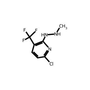 CNNc1nc(Cl)ccc1C(F)(F)F